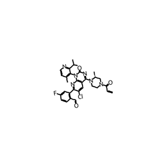 C=CC(=O)N1CCN(c2nc(=O)n(-c3c(C)ccnc3C(C)C)c3nc(-c4cc(F)ccc4C=O)c(Cl)cc23)[C@@H](C)C1